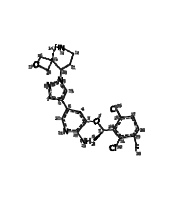 C[C@@H](Oc1cc(-c2cnn(C3CCNCC34COC4)c2)cnc1N)c1c(Cl)ccc(F)c1Cl